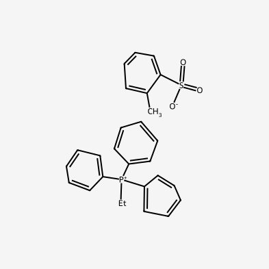 CC[P+](c1ccccc1)(c1ccccc1)c1ccccc1.Cc1ccccc1S(=O)(=O)[O-]